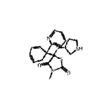 CN1C(=O)SC(O[C@H]2CCNC2)(C2(c3ccccn3)C=CC=CC2)C1=O